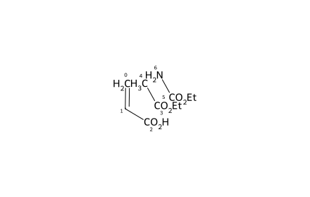 C=CC(=O)O.CCOC(C)=O.CCOC(N)=O